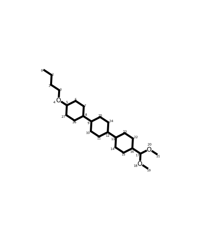 CCCCOC1CCC(C2CCC(C3CCC(C(OC)OC)CC3)CC2)CC1